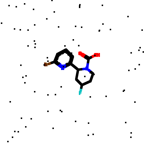 O=C(O)N1CCC(F)CC1c1cccc(Br)n1